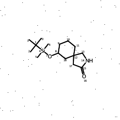 CC(C)(C)[Si](C)(C)OC1CCCC2(CNC(=O)C2)C1